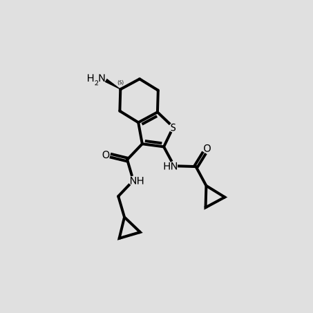 N[C@H]1CCc2sc(NC(=O)C3CC3)c(C(=O)NCC3CC3)c2C1